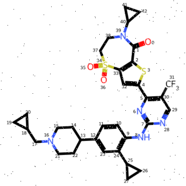 O=C1c2sc(-c3nc(Nc4ccc(C5CCN(CC6CC6)CC5)cc4C4CC4)ncc3C(F)(F)F)cc2S(=O)(=O)CCN1C1CC1